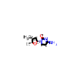 CC[C@H]1O[C@@H](n2ccc(N)nc2=O)C[C@H]1C